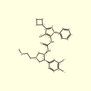 COCCN1C[C@H](c2ccc(F)c(F)c2)[C@H](NC(=O)Nc2c(Cl)c(C3CCC3)nn2-c2ccccc2)C1